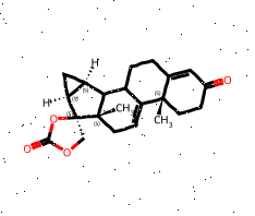 C[C@]12CCC(=O)C=C1CCC1C2=CC[C@@]2(C)C1[C@@H]1C[C@@H]1[C@@]21COC(=O)O1